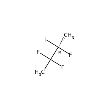 CC(F)(F)[C@](C)(F)I